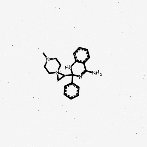 CN1CC[N+]2(CC1)CC2C1(c2ccccc2)N=C(N)c2ccccc2N1